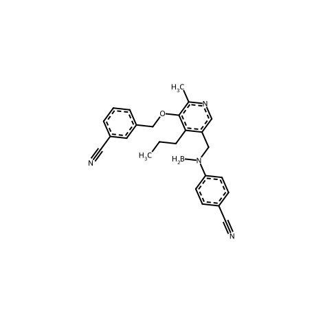 BN(Cc1cnc(C)c(OCc2cccc(C#N)c2)c1CCC)c1ccc(C#N)cc1